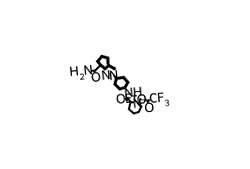 CC[N+]1(OC(=O)C(F)(F)F)CCCCC1C(=O)Nc1ccc(-n2cc3cccc(C(N)=O)c3n2)cc1